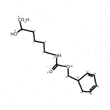 O=C(NCCCCC(O)C(=O)O)OCC1C=CC=CC1